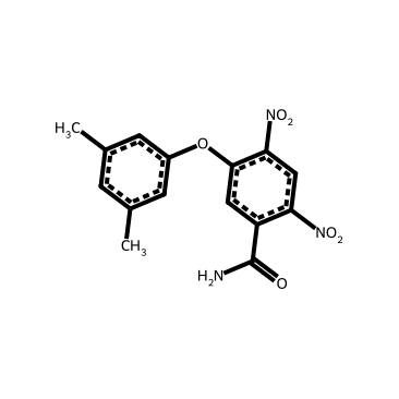 Cc1cc(C)cc(Oc2cc(C(N)=O)c([N+](=O)[O-])cc2[N+](=O)[O-])c1